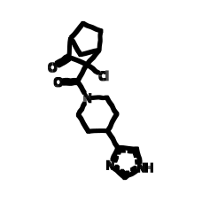 O=C1C2CCC(C2)C1(Cl)C(=O)N1CCC(c2c[nH]cn2)CC1